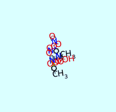 Cc1ccc(S(=O)(=O)N2CCC[C@H]2C(=O)N(c2ccc(OC(=O)N3CCOCC3)c([N+](=O)[O-])c2)[C@@H](C)C(=O)O)cc1